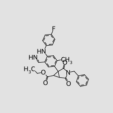 CCOC(=O)C1C2C(=O)N(Cc3ccccc3)C(=O)C12c1cc(C=N)c(Nc2ccc(F)cc2)cc1C